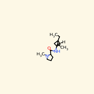 CCC12CC(NC(=O)C3CCCN3C)(C1)[C@H]2C